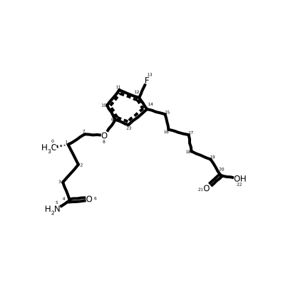 C[C@@H](CCC(N)=O)COc1ccc(F)c(CCCCCC(=O)O)c1